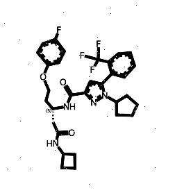 O=C(C[C@H](CCOc1ccc(F)cc1)NC(=O)c1cc(-c2ccccc2C(F)(F)F)n(C2CCCC2)n1)NC1CCC1